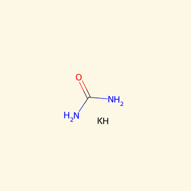 NC(N)=O.[KH]